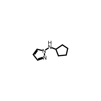 c1cnn(NC2CCCC2)c1